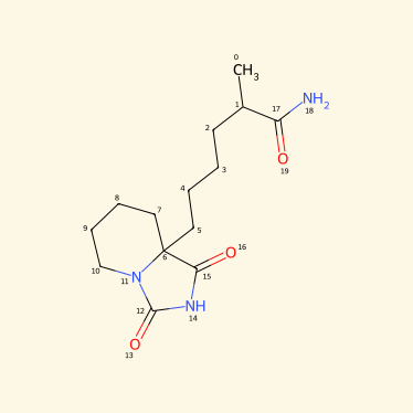 CC(CCCCC12CCCCN1C(=O)NC2=O)C(N)=O